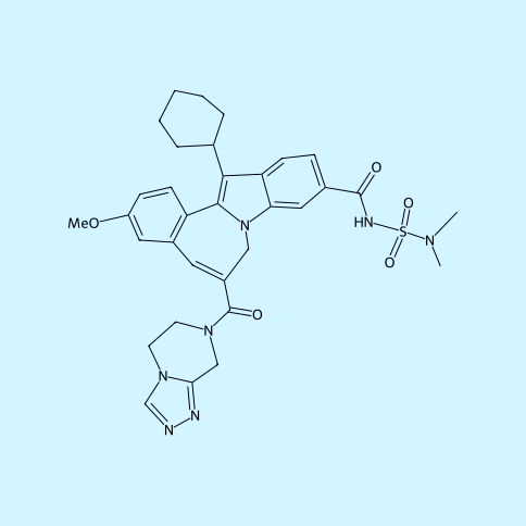 COc1ccc2c(c1)C=C(C(=O)N1CCn3cnnc3C1)Cn1c-2c(C2CCCCC2)c2ccc(C(=O)NS(=O)(=O)N(C)C)cc21